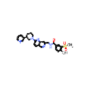 Cc1ccc(C(=O)NCc2cc3nc(N4CCC[C@H](c5cccnc5)C4)ccc3cn2)cc1S(C)(=O)=O